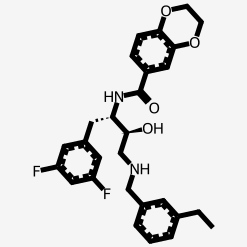 CCc1cccc(CNC[C@H](O)[C@H](Cc2cc(F)cc(F)c2)NC(=O)c2ccc3c(c2)OCCO3)c1